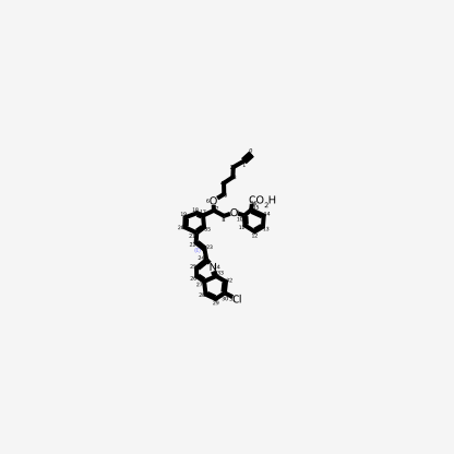 C#CCCCCOC(COc1ccccc1C(=O)O)c1cccc(/C=C/c2ccc3ccc(Cl)cc3n2)c1